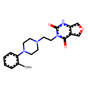 COc1ccccc1N1CCN(CCn2c(=O)[nH]c3cocc3c2=O)CC1